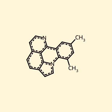 Cc1cc(C)c2c(c1)c1nccc3ccc4ccn2c4c31